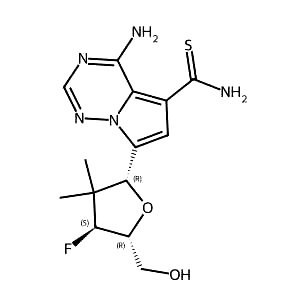 CC1(C)[C@H](F)[C@@H](CO)O[C@H]1c1cc(C(N)=S)c2c(N)ncnn12